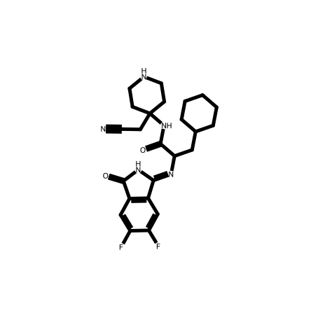 N#CCC1(NC(=O)C(CC2CCCCC2)N=C2NC(=O)c3cc(F)c(F)cc32)CCNCC1